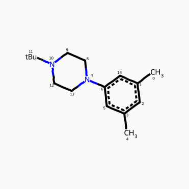 Cc1cc(C)cc(N2CCN(C(C)(C)C)CC2)c1